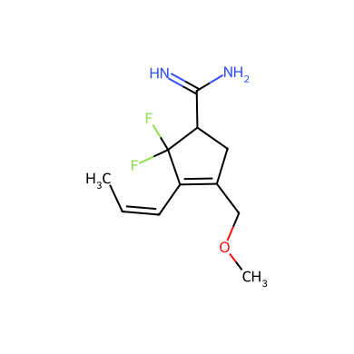 C/C=C\C1=C(COC)CC(C(=N)N)C1(F)F